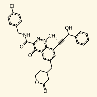 Cn1nc(C(=O)NCc2ccc(Cl)cc2)c(=O)c2cc(CC3CCOC(=O)C3)cc(C#CC(O)c3ccccc3)c21